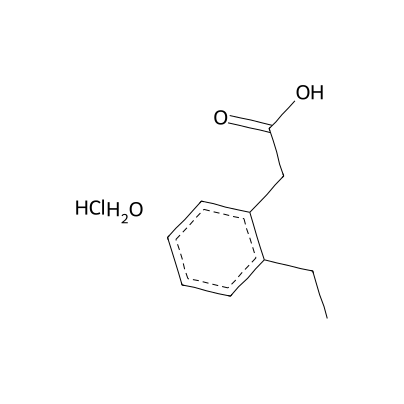 CCc1ccccc1CC(=O)O.Cl.O